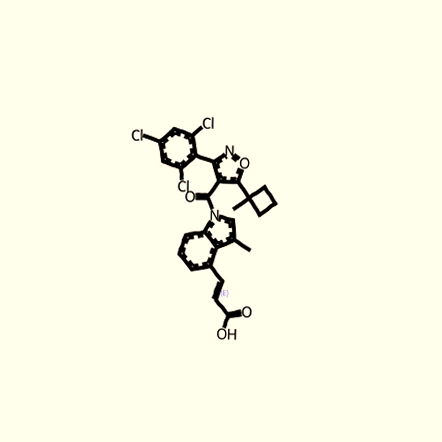 Cc1cn(C(=O)c2c(-c3c(Cl)cc(Cl)cc3Cl)noc2C2(C)CCC2)c2cccc(/C=C/C(=O)O)c12